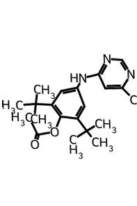 CC(=O)Oc1c(C(C)(C)C)cc(Nc2cc(Cl)ncn2)cc1C(C)(C)C